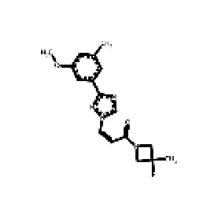 COc1cc(C)cc(-c2ncn(/C=C\C(=O)N3CC(C)(F)C3)n2)c1